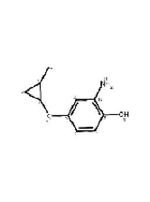 CC1CC1Oc1ccc(O)c(N)c1